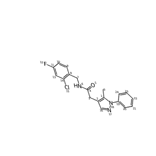 Cc1c(CC(=O)NCc2ccc(F)cc2Cl)cnn1-c1ccccc1